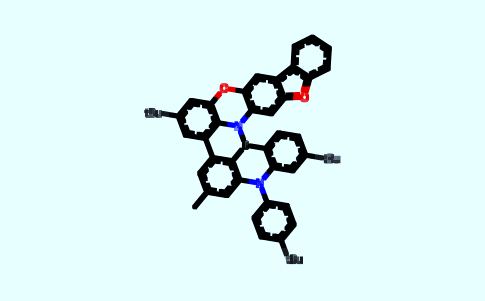 Cc1cc2c3c(c1)N(c1ccc(C(C)(C)C)cc1)c1cc(C(C)(C)C)ccc1B3N1c3cc4oc5ccccc5c4cc3Oc3cc(C(C)(C)C)cc-2c31